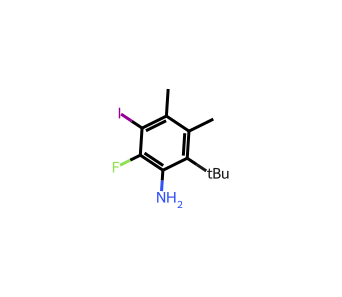 Cc1c(C)c(C(C)(C)C)c(N)c(F)c1I